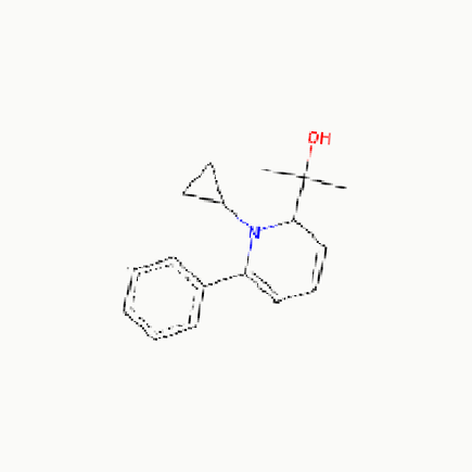 CC(C)(O)C1C=CC=C(c2c[c]ccc2)N1C1CC1